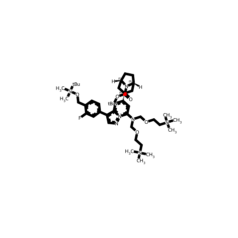 CC(C)(C)OC(=O)N1[C@@H]2CC[C@H]1C[C@@H](c1cc(N(COCC[Si](C)(C)C)COCC[Si](C)(C)C)n3ncc(-c4ccc(CO[Si](C)(C)C(C)(C)C)c(F)c4)c3n1)C2